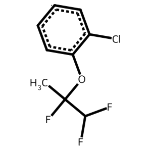 CC(F)(Oc1cc[c]cc1Cl)C(F)F